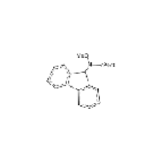 CCCCCN(OC)C1c2ccccc2-c2ccccc21